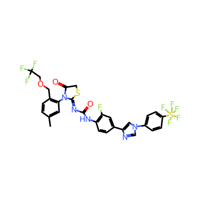 Cc1ccc(COCC(F)(F)F)c(N2C(=O)CSC2=NC(=O)Nc2ccc(-c3cn(-c4ccc(S(F)(F)(F)(F)F)cc4)cn3)cc2F)c1